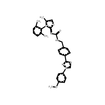 Cc1cccc(C)c1-n1c(C)cs/c1=N\C(=O)NCc1ccc(-c2ncn(-c3ccc(OC(F)(F)F)cc3)n2)cc1